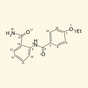 CCOc1ccc(C(=O)Nc2ccccc2C(N)=O)cc1